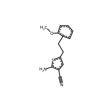 COc1ccccc1CCc1cc(C#N)c(N)s1